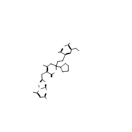 CCc1cc(CCC2(C3CCCC3)CC(O)=C(Cc3nc4nc(C)cc(C)n4n3)C(=O)O2)c(C)nc1N